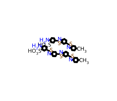 Cc1ccc2nc(-c3ccc4nc(-c5ccc(N)c(S(=O)(=O)O)c5)sc4c3)sc2c1.Cc1ccc2nc(-c3ccc4nc(-c5ccc6nc(-c7ccc(N)c(S(=O)(=O)O)c7)sc6c5)sc4c3)sc2c1